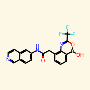 O=C(Cc1cccc2c1N=C(C(F)(F)F)OB2O)Nc1ccc2cnccc2c1